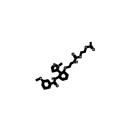 COc1cccc(C(=O)Nc2cccc(OCCNC(=O)OCCOC(C)=O)c2-c2ccnn2C)c1